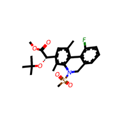 COC(=O)[C@@H](OC(C)(C)C)c1cc(C)c2c(c1C)N(S(C)(=O)=O)Cc1cccc(F)c1-2